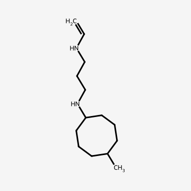 C=CNCCCNC1CCCC(C)CCC1